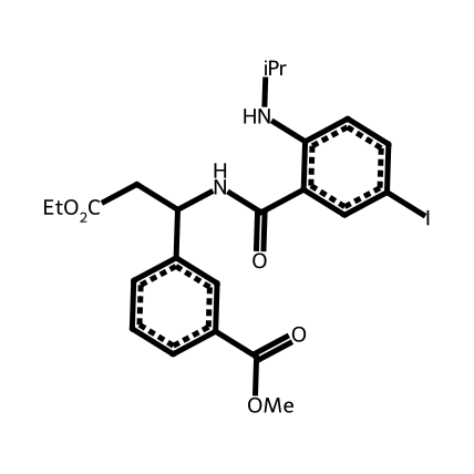 CCOC(=O)CC(NC(=O)c1cc(I)ccc1NC(C)C)c1cccc(C(=O)OC)c1